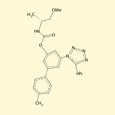 CCCc1nnnn1-c1cc(OC(=O)N[C@H](C)COC)cc(-c2ccc(C)cc2)c1